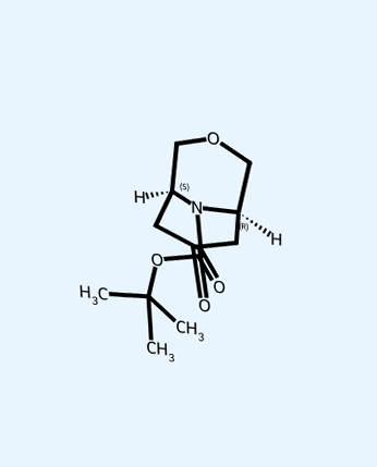 CC(C)(C)OC(=O)N1[C@@H]2COC[C@H]1CC(=O)C2